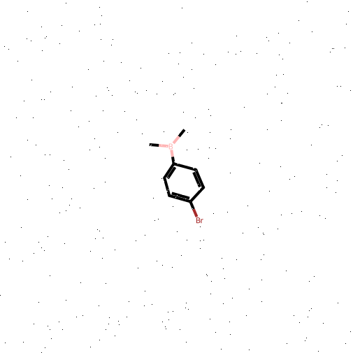 CB(C)c1ccc(Br)cc1